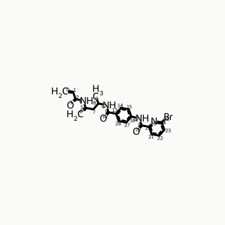 C=CC(=O)NC(=C)CC(C)NC(=O)c1ccc(NC(=O)c2cccc(Br)n2)cc1